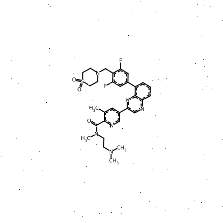 Cc1cc(-c2cnc3cccc(-c4cc(F)c(CN5CCS(=O)(=O)CC5)c(F)c4)c3n2)cnc1C(=O)N(C)CCN(C)C